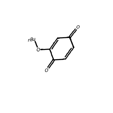 CCCCOC1=CC(=O)C=CC1=O